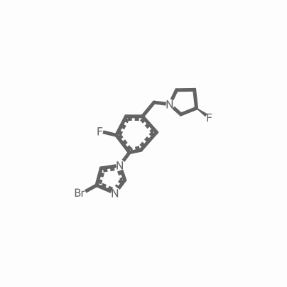 Fc1cc(CN2CC[C@@H](F)C2)ccc1-n1cnc(Br)c1